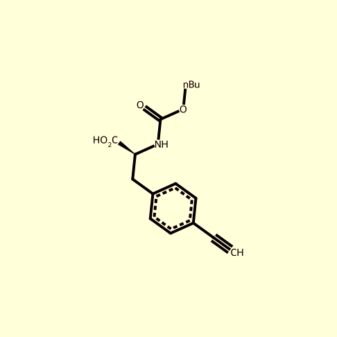 C#Cc1ccc(C[C@H](NC(=O)OCCCC)C(=O)O)cc1